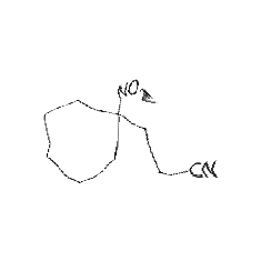 N#CCCC1([N+](=O)[O-])CCCCC1